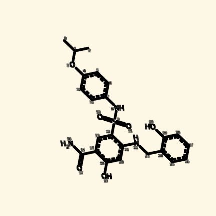 CC(C)Oc1ccc(NS(=O)(=O)c2cc(C(N)=O)c(O)cc2NCc2ccccc2O)cc1